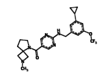 CN1CC2(CCCN2C(=O)c2cnc(NCc3cc(OC(F)(F)F)cc(C4CC4)c3)nc2)C1